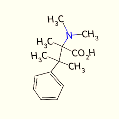 CN(C)C(C)(C(=O)O)C(C)(C)c1ccccc1